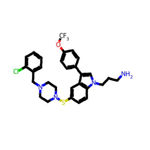 NCCCn1cc(-c2ccc(OC(F)(F)F)cc2)c2cc(SN3CCN(Cc4ccccc4Cl)CC3)ccc21